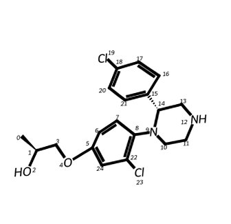 C[C@H](O)COc1ccc(N2CCNC[C@H]2c2ccc(Cl)cc2)c(Cl)c1